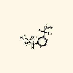 CNC(F)(F)c1cccc(NS(C)(=O)=O)c1